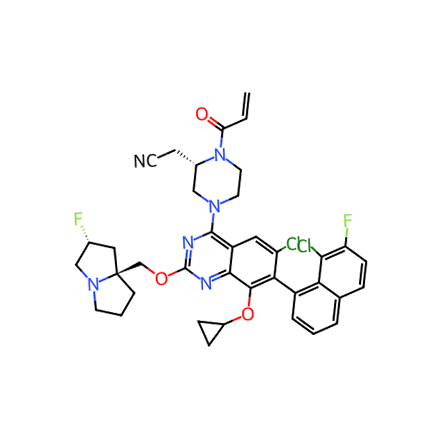 C=CC(=O)N1CCN(c2nc(OC[C@@]34CCCN3C[C@H](F)C4)nc3c(OC4CC4)c(-c4cccc5ccc(F)c(Cl)c45)c(Cl)cc23)C[C@@H]1CC#N